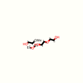 CCOCC.COCCO.OCCOCCO